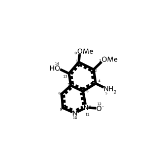 COc1c(OC)c(N)c2c(ccn[n+]2[O-])c1O